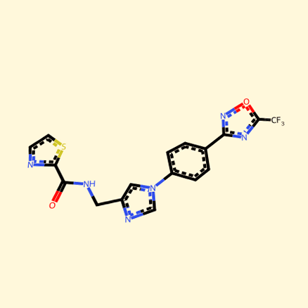 O=C(NCc1cn(-c2ccc(-c3noc(C(F)(F)F)n3)cc2)cn1)c1nccs1